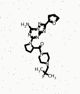 CC(C)(F)CN1CCN(C(=O)C2CCCN2c2nc(N)n3nc(-c4ccco4)nc3n2)CC1